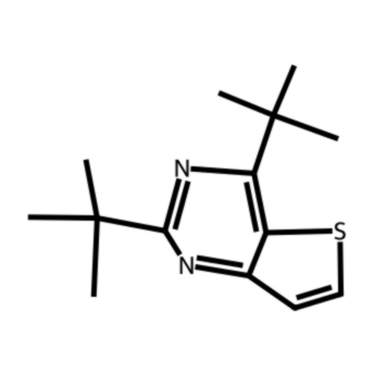 CC(C)(C)c1nc(C(C)(C)C)c2sccc2n1